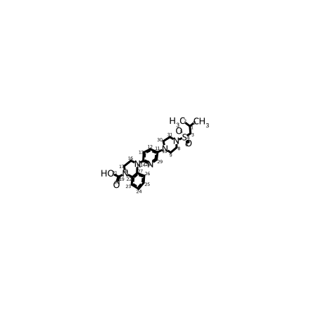 CC(C)CS(=O)(=O)N1CCN(c2ccc(N3CCN(C(=O)O)c4ccccc43)nc2)CC1